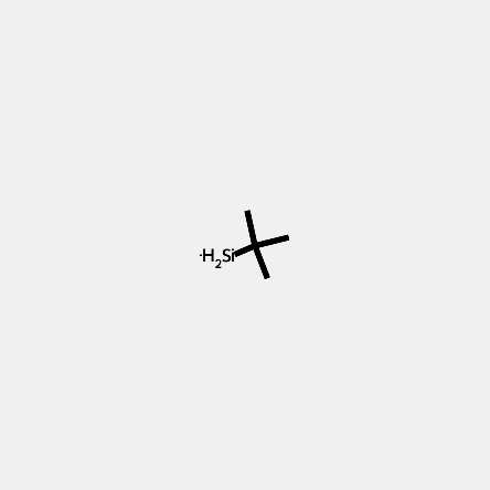 CC(C)(C)[SiH2]